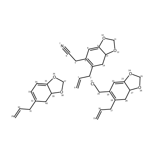 C=CCC1=C(CC#N)C=C2OCOC2C1.C=CCC1=C(CCl)C=C2OCOC2C1.C=CCC1=CC=C2OCOC2C1